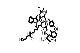 CNC(=O)[C@@H](Cc1c[nH]c2ccccc12)NC(=O)[C@H](Cc1ccc(O)cc1)NC(=O)[C@H](CCCCNC(=O)CCS)N(C)C(=O)[C@H](Cc1ccccc1)NC(O)[C@@H](N)[C@@H](C)O